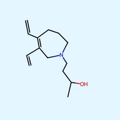 C=CC1=C(C=C)CN(CCC(C)O)CCC1